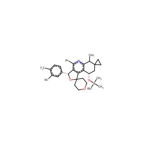 CC(=O)OC1c2nc(C(C)C)c3c(c2[C@@H](O[Si](C)(C)C(C)(C)C)CC12CC2)C1(CCOCC1)O[C@@H]3c1ccc(C(F)(F)F)c(C#N)c1